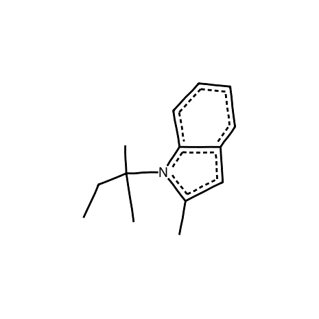 CCC(C)(C)n1c(C)cc2ccccc21